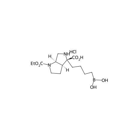 CCOC(=O)N1CC[C@H]2[C@@H]1CN[C@@]2(CCCCB(O)O)C(=O)O.Cl